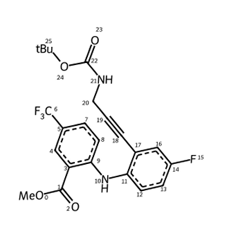 COC(=O)c1cc(C(F)(F)F)ccc1Nc1ccc(F)cc1C#CCNC(=O)OC(C)(C)C